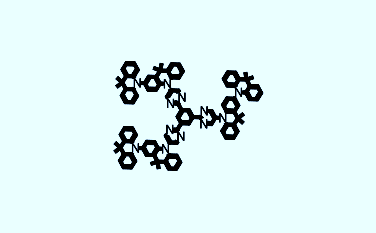 CC1(C)c2ccccc2N(c2ccc3c(c2)C(C)(C)c2ccccc2N3c2cnc(-c3cc(-c4ncc(N5c6ccccc6C(C)(C)c6cc(N7c8ccccc8C(C)(C)c8ccccc87)ccc65)cn4)cc(-c4ncc(N5c6ccccc6C(C)(C)c6cc(N7c8ccccc8C(C)(C)C8C=CC=CC87)ccc65)cn4)c3)nc2)c2ccccc21